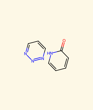 O=c1cccc[nH]1.c1cnnnc1